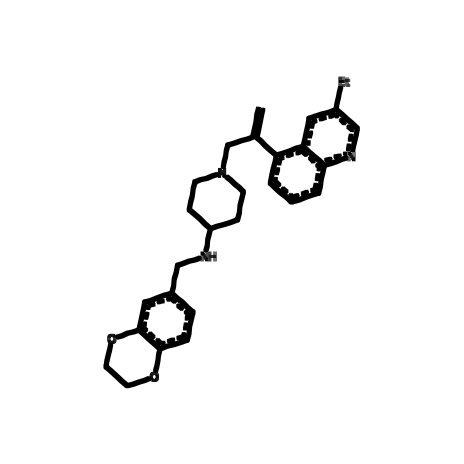 C=C(CN1CCC(NCc2ccc3c(c2)OCCO3)CC1)c1cccc2ncc(CC)cc12